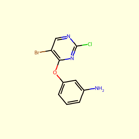 Nc1cccc(Oc2nc(Cl)ncc2Br)c1